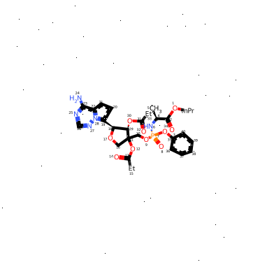 CCCOC(=O)[C@H](C)N[P@](=O)(OCC1(OC(=O)CC)CO[C@@H](c2ccc3c(N)ncnn23)[C@@H]1OC(=O)CC)Oc1ccccc1